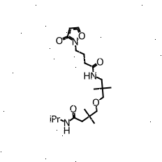 CC(C)NC(=O)CC(C)(C)COCC(C)(C)CNC(=O)CCCn1occc1=O